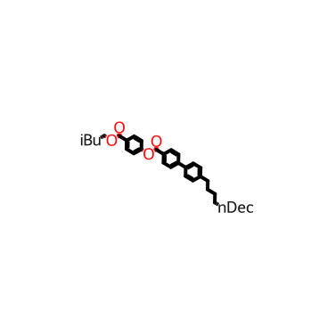 CCCCCCCCCCCCCCc1ccc(-c2ccc(C(=O)Oc3ccc(C(=O)OCC(C)CC)cc3)cc2)cc1